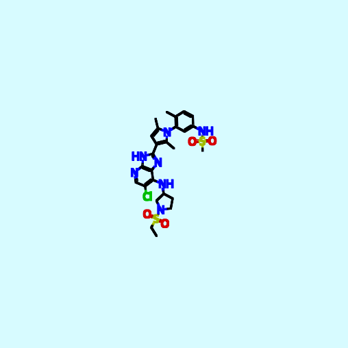 CCS(=O)(=O)N1CC[C@H](Nc2c(Cl)cnc3[nH]c(-c4cc(C)n(-c5cc(NS(C)(=O)=O)ccc5C)c4C)nc23)C1